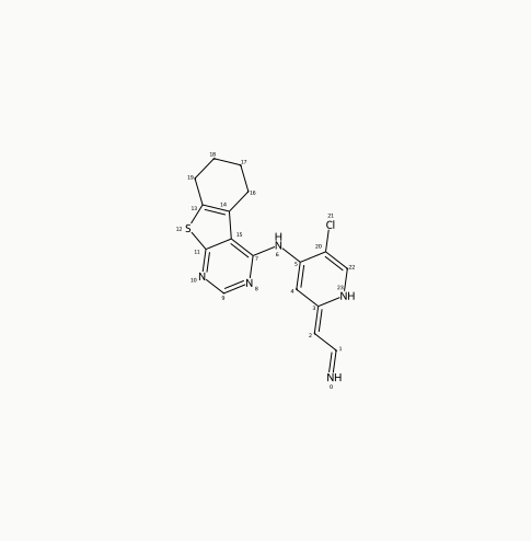 N=C/C=C1/C=C(Nc2ncnc3sc4c(c23)CCCC4)C(Cl)=CN1